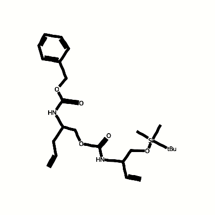 C=CCC(COC(=O)NC(C=C)CO[Si](C)(C)C(C)(C)C)NC(=O)OCc1ccccc1